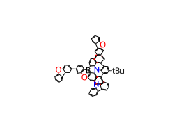 CC(C)(C)c1cc(-c2ccccc2)c(N2c3cc(-c4ccc5oc6ccccc6c5c4)ccc3B3c4ccc(-c5ccc6oc7ccccc7c6c5)cc4Oc4cc(-n5c6ccccc6c6ccccc65)cc2c43)c(-c2ccccc2)c1